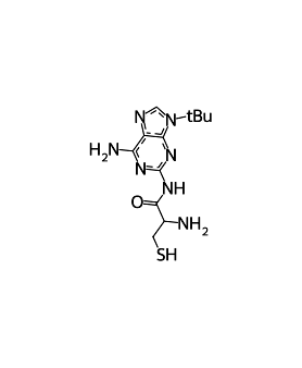 CC(C)(C)n1cnc2c(N)nc(NC(=O)C(N)CS)nc21